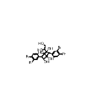 CC(C)c1ccc(C2C(O)[C@@]3(O)C(c4ccc(C(C)C)c(Br)c4)[C@@](O)([C@H](O)CO)[C@@]23O)cc1Br